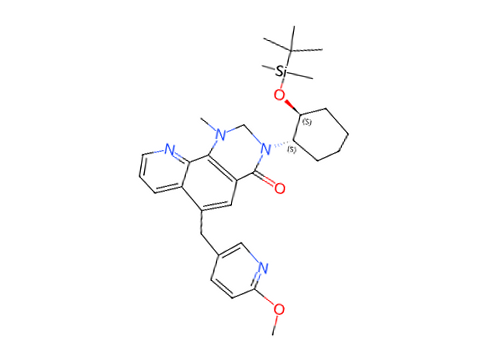 COc1ccc(Cc2cc3c(c4ncccc24)N(C)CN([C@H]2CCCC[C@@H]2O[Si](C)(C)C(C)(C)C)C3=O)cn1